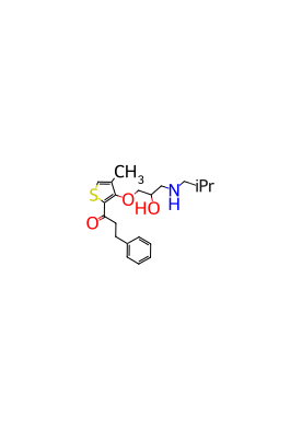 Cc1csc(C(=O)CCc2ccccc2)c1OCC(O)CNCC(C)C